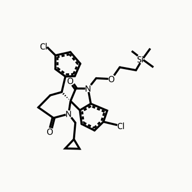 C[Si](C)(C)CCOCN1C(=O)[C@]2(c3ccc(Cl)cc31)C(c1cccc(Cl)c1)CCC(=O)N2CC1CC1